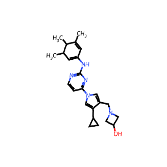 CC1=CC(Nc2nccc(-n3cc(CN4CC(O)C4)c(C4CC4)c3)n2)=CC(C)C1C